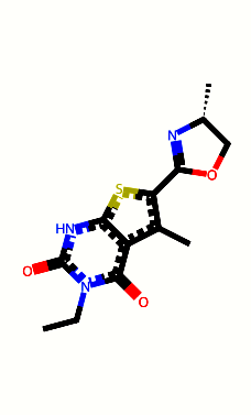 CCn1c(=O)[nH]c2sc(C3=N[C@H](C)CO3)c(C)c2c1=O